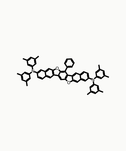 Cc1cc(C)cc(N(c2cc(C)cc(C)c2)c2ccc3cc4c(cc3c2)oc2c(-c3ccccc3)c3c(cc24)oc2cc4cc(N(c5cc(C)cc(C)c5)c5cc(C)cc(C)c5)ccc4cc23)c1